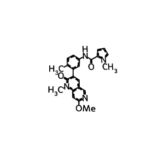 COc1cc2c(cn1)cc(-c1cc(NC(=O)c3cccn3C)ccc1C)c(=O)n2C